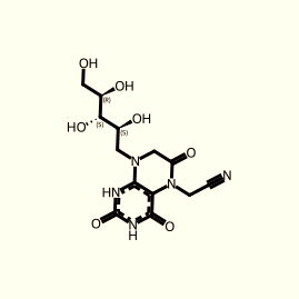 N#CCN1C(=O)CN(C[C@H](O)[C@H](O)[C@H](O)CO)c2[nH]c(=O)[nH]c(=O)c21